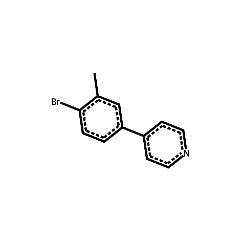 Cc1cc(-c2ccncc2)ccc1Br